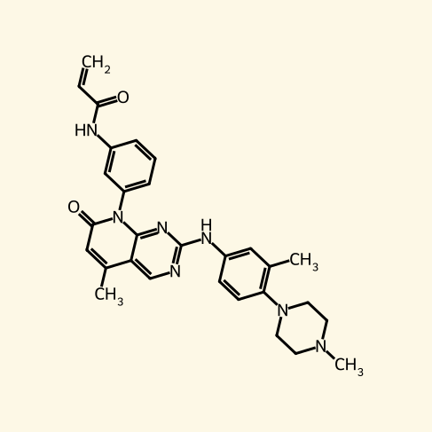 C=CC(=O)Nc1cccc(-n2c(=O)cc(C)c3cnc(Nc4ccc(N5CCN(C)CC5)c(C)c4)nc32)c1